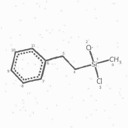 C[Si]([O])(Cl)CCc1ccccc1